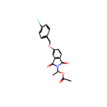 CC(=O)OC(C)N1C(=O)c2ccc(OCc3ccc(F)cc3)cc2C1=O